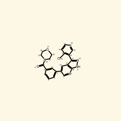 O=C(c1cccc(-c2cnc3[nH]nc(-c4cnccc4Cl)c3c2)c1)N1CCOCC1